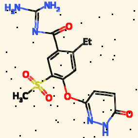 CCc1cc(Oc2ccc(=O)[nH]n2)c(S(C)(=O)=O)cc1C(=O)N=C(N)N